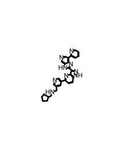 c1ccc(-c2cncc3[nH]c(-c4n[nH]c5ccc(-c6cncc(CNCC7CCCC7)c6)nc45)nc23)nc1